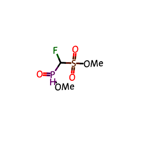 CO[PH](=O)C(F)S(=O)(=O)OC